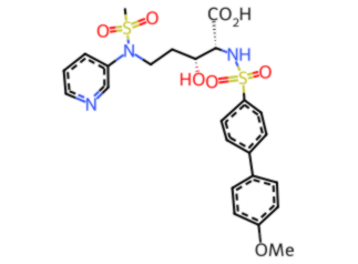 COc1ccc(-c2ccc(S(=O)(=O)N[C@@H](C(=O)O)[C@H](O)CCN(c3cccnc3)S(C)(=O)=O)cc2)cc1